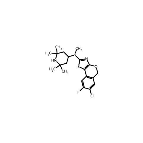 CN(c1nc2c(s1)-c1cc(F)c(Cl)cc1CO2)C1CC(C)(C)NC(C)(C)C1